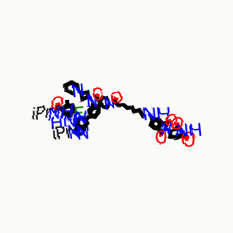 Cc1cc(F)c(Nc2nc(-c3ccc4c(c3)N(C3CC(N5CCCCC5)C3)C(=O)C43CCN(C(=O)CCCCCCCNc4ccc5c(c4)C(=O)N(C4CCC(=O)NC4=O)C5=O)CC3)cc3ncn(C(C)C)c23)cc1C(=O)NC(C)C